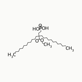 CCCCCCCCCCCCC(CCCCCCCCCCCC)(CCP(=O)(O)O)C(=O)OCC